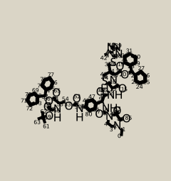 CCN1CCN(C(=O)N[C@H](C(=O)N[C@@H]2C(=O)N3C(C(=O)OC(c4ccccc4)c4ccccc4)=C(CSc4nnnn4C)CS[C@H]23)c2ccc(NC(=O)OCC(NC(=O)OC(C)(C)C)C(=O)OC(c3ccccc3)c3ccccc3)cc2)C(=O)C1=O